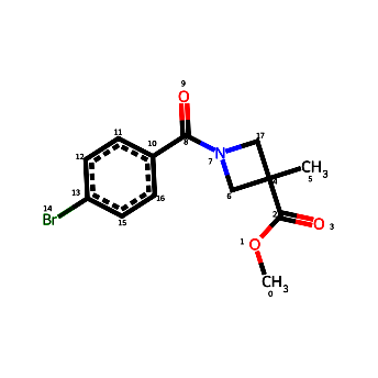 COC(=O)C1(C)CN(C(=O)c2ccc(Br)cc2)C1